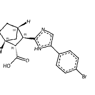 O=C(O)[C@@H]1[C@@H]2CC[C@@H](C2)[C@H]1c1ncc(-c2ccc(Br)cc2)[nH]1